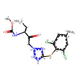 CCCCOC(=O)NC(CC(=O)O)C(=O)Cn1nnc(Sc2c(Cl)cc(NC(C)=O)cc2Cl)n1